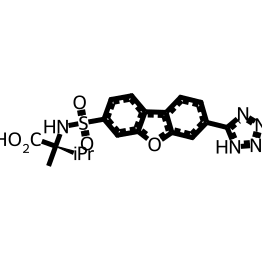 CC(C)[C@](C)(NS(=O)(=O)c1ccc2c(c1)oc1cc(-c3nnn[nH]3)ccc12)C(=O)O